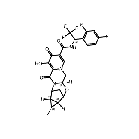 C[C@H]1[C@H]2C3CC([C@@H]12)N1C(=O)c2c(O)c(=O)c(C(=O)N[C@@H](c4ccc(F)cc4F)C(F)(F)F)cn2C[C@H]1O3